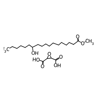 CCCCCCC(O)CCCCCCCCCCC(=O)OC.O=C(O)C1OC1C(=O)O